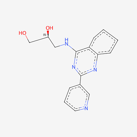 OC[C@@H](O)CNc1nc(-c2cccnc2)nc2ccccc12